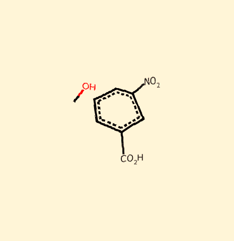 CO.O=C(O)c1cccc([N+](=O)[O-])c1